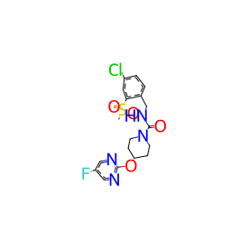 CS(=O)(=O)c1cc(Cl)ccc1CNC(=O)N1CCC(Oc2ncc(F)cn2)CC1